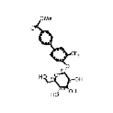 COC(=O)c1ccc(-c2ccc(O[C@H]3O[C@H](CO)[C@@H](O)[C@H](O)[C@@H]3O)c(C(F)(F)F)c2)cc1